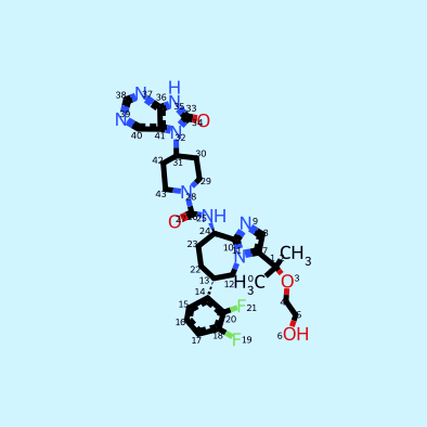 CC(C)(OCCO)c1cnc2n1C[C@H](c1cccc(F)c1F)CC[C@H]2NC(=O)N1CCC(n2c(=O)[nH]c3ncncc32)CC1